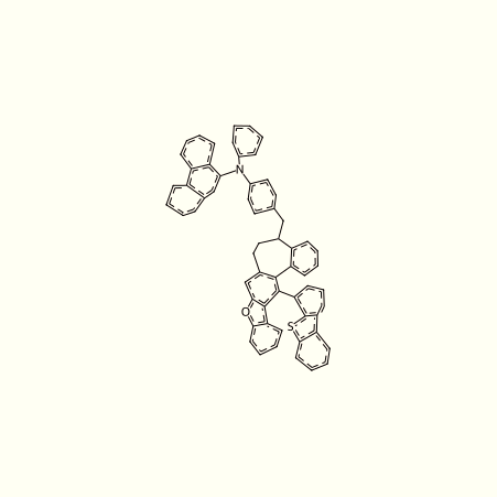 c1ccc(N(c2ccc(CC3CCc4cc5oc6ccccc6c5c(-c5cccc6c5sc5ccccc56)c4-c4ccccc43)cc2)c2cc3ccccc3c3ccccc23)cc1